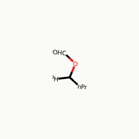 [3H]C(CCC)O[C]=O